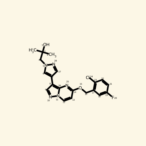 CC(C)(O)Cn1cc(-c2cnn3ccc(OCc4cc(F)ccc4Cl)nc23)cn1